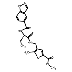 CC[C@@H](NC(=O)c1ccc2[nH]ncc2c1)C(=O)NCc1cc(C(=O)NC)sc1C